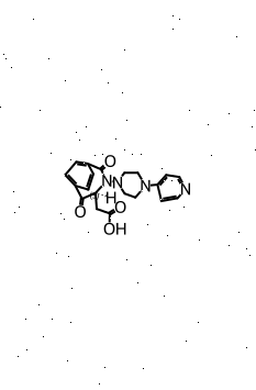 O=C(O)C[C@H]1C(=O)c2ccc(cc2)C(=O)N1N1CCN(c2ccncc2)CC1